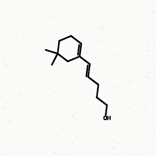 CC1(C)CCC=C(C=CCCCO)C1